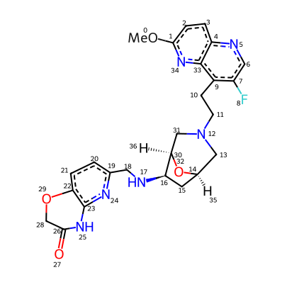 COc1ccc2ncc(F)c(CCN3C[C@H]4C[C@@H](NCc5ccc6c(n5)NC(=O)CO6)[C@@H](C3)O4)c2n1